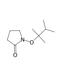 CC(C)C(C)(C)ON1CCCC1=O